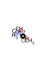 CCN(C)C(=O)Nc1ccc(OC)c(Cl)c1